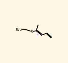 C=C/C=C(\C)SCC(C)(C)C